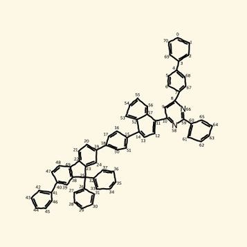 c1ccc(-c2ccc(-c3cc(-c4ccc(-c5ccc(-c6ccc7c(c6)C(c6ccccc6)(c6ccccc6)c6cc(-c8ccccc8)ccc6-7)cc5)c5ccccc45)nc(-c4ccccc4)n3)cc2)cc1